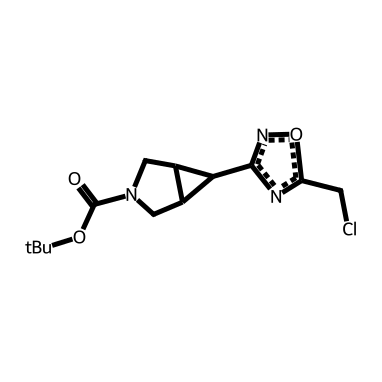 CC(C)(C)OC(=O)N1CC2C(C1)C2c1noc(CCl)n1